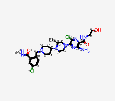 CCCNC(=O)c1cc(Cl)ccc1CN1CCC(N2CCN(c3nc(N)c(C(=O)NCCO)nc3Cl)C[C@@H]2CC)CC1